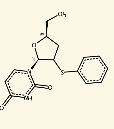 O=c1ccn([C@H]2O[C@@H](CO)CC2Sc2ccccc2)c(=O)[nH]1